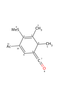 CSC1=C(C)C(C)C(=C=O)C=C1C(C)=O